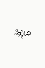 O=C1OC(C(=O)NCc2ccccc2)C(Cl)=C1Cl